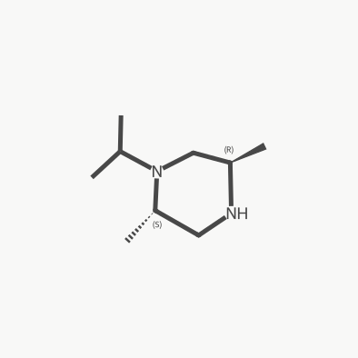 CC(C)N1C[C@@H](C)NC[C@@H]1C